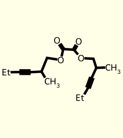 CCC#CC(C)COC(=O)C(=O)OCC(C)C#CCC